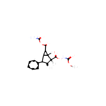 C=C1C(c2ccccc2)C2C(C(=O)OC(N)=O)C2(CC)C1(CC)C(=O)ONC(=O)OC(C)(C)C